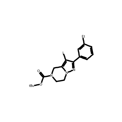 CCc1cccc(-c2nn3c(c2I)CN(C(=O)OC(C)(C)C)CC3)c1